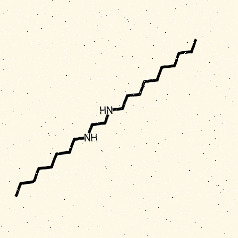 CCCCCCCCCCNCCNCCCCCCCC